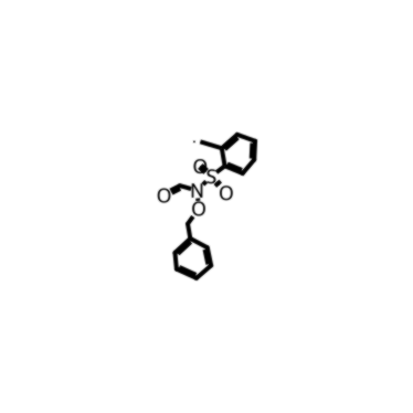 [CH2]c1ccccc1S(=O)(=O)N(C=O)OCc1ccccc1